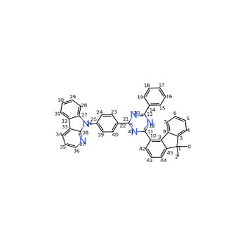 CC1(C)c2ccccc2-c2c(-c3nc(-c4ccccc4)nc(-c4ccc(-n5c6ccccc6c6cccnc65)cc4)n3)cccc21